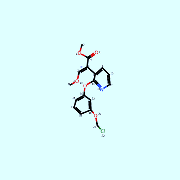 CO/C=C(/C(=O)OC)c1cccnc1Oc1cccc(OCCl)c1